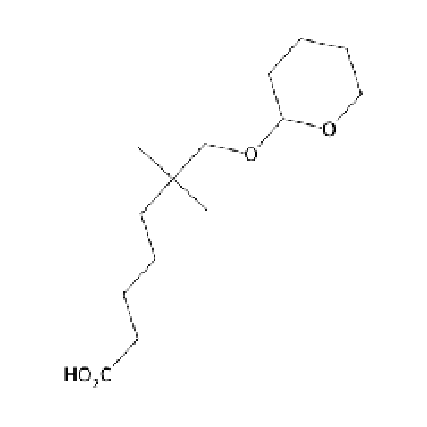 CC(C)(CCCCC(=O)O)COC1CCCCO1